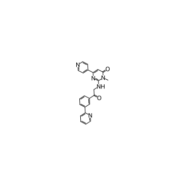 Cn1c(NCC(=O)c2cccc(-c3ccccn3)c2)nc(-c2ccncc2)cc1=O